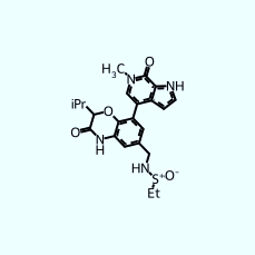 CC[S+]([O-])NCc1cc2c(c(-c3cn(C)c(=O)c4[nH]ccc34)c1)OC(C(C)C)C(=O)N2